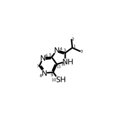 CC(C)c1nc2ncnc(S)c2[nH]1